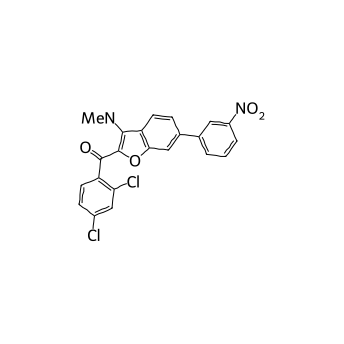 CNc1c(C(=O)c2ccc(Cl)cc2Cl)oc2cc(-c3cccc([N+](=O)[O-])c3)ccc12